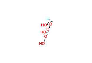 CC(CF)(CCO)OCCOCC(O)COCCCO